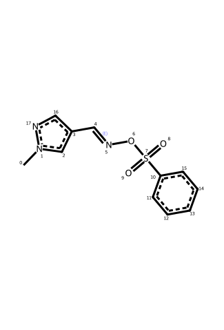 Cn1cc(/C=N/OS(=O)(=O)c2ccccc2)cn1